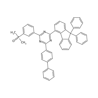 CP(C)(=O)c1cccc(-c2nc(-c3ccc(-c4ccccc4)cc3)nc(-c3cccc4c3-c3ccccc3C4(c3ccccc3)c3ccccc3)n2)c1